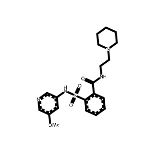 COc1cncc(NS(=O)(=O)c2ccccc2C(=O)NCCN2CCCCC2)c1